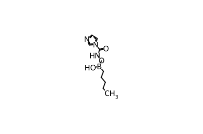 CCCCCB(O)ONC(=O)n1ccnc1